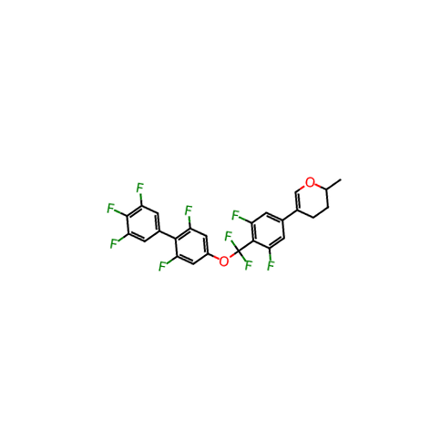 CC1CCC(c2cc(F)c(C(F)(F)Oc3cc(F)c(-c4cc(F)c(F)c(F)c4)c(F)c3)c(F)c2)=CO1